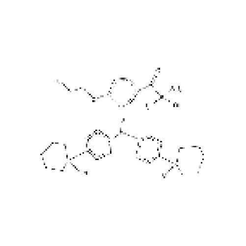 CC(C)(O)C(=O)c1ccc(OCCO)cc1.O=C(c1ccc(C2(O)CCCCC2)cc1)c1ccc(C2(O)CCCCC2)cc1